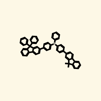 CC1(C)c2ccccc2-c2ccc(-c3ccc(N(c4ccccc4)c4ccc(-c5ccc6c(c5)C(c5ccccc5)(c5ccccc5)c5ccccc5-6)cc4)cc3)cc21